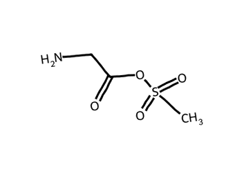 CS(=O)(=O)OC(=O)CN